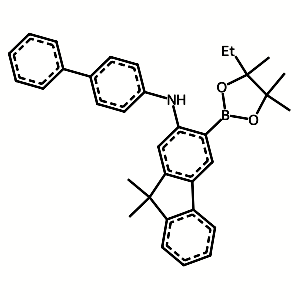 CCC1(C)OB(c2cc3c(cc2Nc2ccc(-c4ccccc4)cc2)C(C)(C)c2ccccc2-3)OC1(C)C